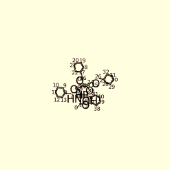 CC(=O)N[C@@H]1[C@@H](OCc2ccccc2)[C@H](OCc2ccccc2)[C@@H](COCc2ccccc2)O[PH]1(O)c1ccccc1